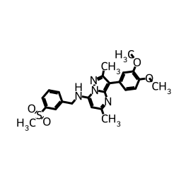 COc1ccc(-c2c(C)nn3c(NCc4cccc(S(C)(=O)=O)c4)cc(C)nc23)cc1OC